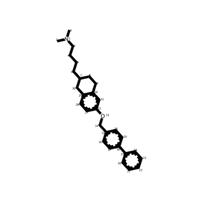 CN(C)CCCCC1CCc2cc(OCc3ccc(-c4ccccc4)cc3)ccc2C1